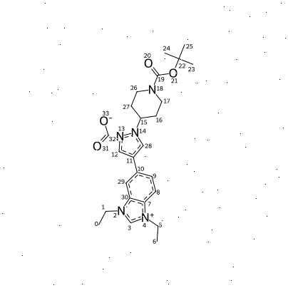 CCn1c[n+](CC)c2ccc(-c3cnn(C4CCN(C(=O)OC(C)(C)C)CC4)c3)cc21.O=C[O-]